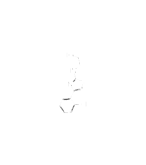 C[C@@H](O)CNc1nc(-c2ccccc2Cl)cs1